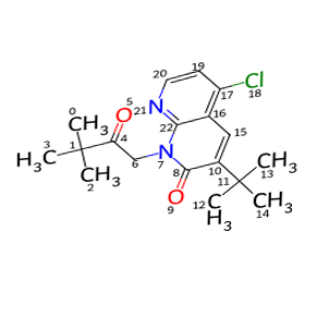 CC(C)(C)C(=O)Cn1c(=O)c(C(C)(C)C)cc2c(Cl)ccnc21